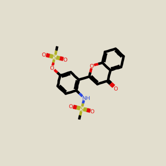 CS(=O)(=O)Nc1ccc(OS(C)(=O)=O)cc1-c1cc(=O)c2ccccc2o1